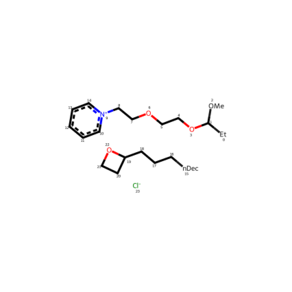 CCC(OC)OCCOCC[n+]1ccccc1.CCCCCCCCCCCCCC1CCO1.[Cl-]